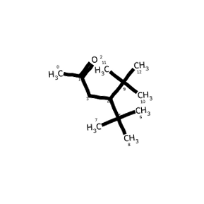 CC(=O)CC(C(C)(C)C)C(C)(C)C